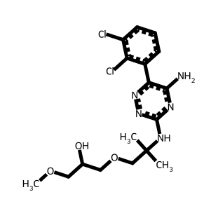 COCC(O)COCC(C)(C)Nc1nnc(-c2cccc(Cl)c2Cl)c(N)n1